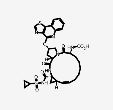 O=C(O)N[C@H]1CCCCCC=C[C@@H]2C[C@@]2(C(=O)NS(=O)(=O)C2CC2)NC(=O)[C@@H]2C[C@@H](Oc3nc4ccccc4c4scnc34)CN2C1=O